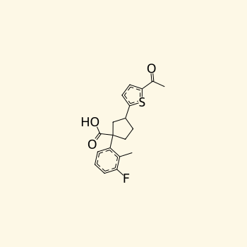 CC(=O)c1ccc(C2CCC(C(=O)O)(c3cccc(F)c3C)C2)s1